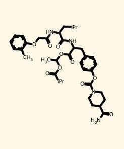 Cc1ccccc1OCC(=O)NC(CC(C)C)C(=O)NC(Cc1ccc(OC(=O)N2CCC(C(N)=O)CC2)cc1)C(=O)OC(C)OC(=O)C(C)C